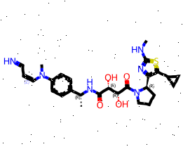 CNc1nc([C@H]2CCCN2C(=O)[C@H](O)[C@@H](O)C(=O)N[C@H](C)c2ccc(N(C)/C=C\C=N)cc2)c(C2CC2)s1